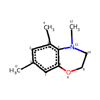 Cc1cc(C)c2c(c1)OCCN2C